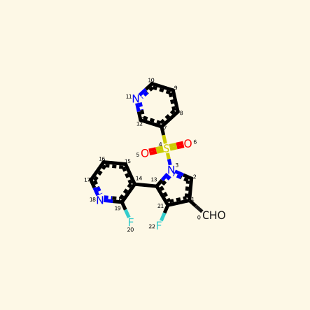 O=Cc1cn(S(=O)(=O)c2cccnc2)c(-c2cccnc2F)c1F